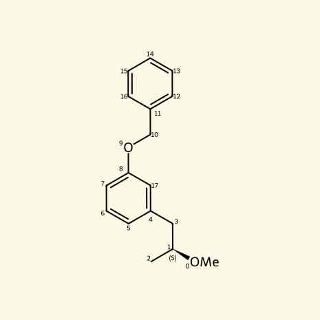 CO[C@@H](C)Cc1cccc(OCc2ccccc2)c1